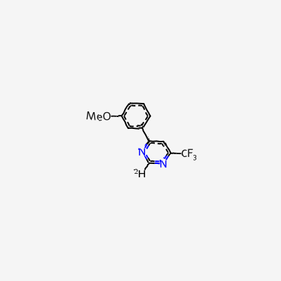 [2H]c1nc(-c2cccc(OC)c2)cc(C(F)(F)F)n1